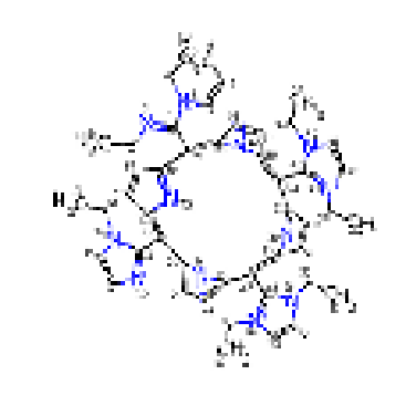 C/C=C\N(CC)/C(=N/CC)c1c2nc(c(-c3nccn3CC)c3ccc([nH]3)c(-c3n(CC)cc[n+]3CC)c3nc(c(-c4n(CC)cc[n+]4CC)c4ccc1[nH]4)C=C3)C=C2